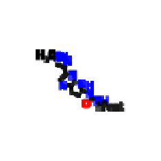 CCCCCNC(=O)Nc1ccc2ncc(-c3cn(C)nn3)nc2n1